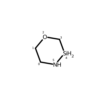 C1COC[SiH2]N1